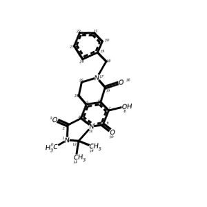 CN1C(=O)c2c3c(c(O)c(=O)n2C1(C)C)C(=O)N(Cc1ccccc1)CC3